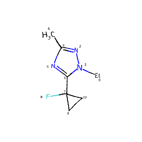 CCn1nc(C)nc1C1(F)CC1